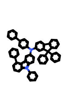 c1ccc(-c2ccc(N(c3ccc4c(c3)C(c3ccccc3)(c3ccccc3)c3ccccc3-4)c3ccc4c(c3)c3c(-c5ccccc5)cccc3n4-c3ccccc3)cc2)cc1